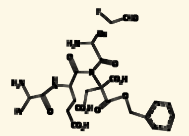 CCC(C)C(N)C(=O)N(C(=O)C(CCC(=O)O)NC(=O)C(N)C(C)C)C(CC(=O)O)(C(=O)O)C(=O)OCc1ccccc1.O=CCF